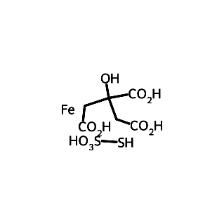 O=C(O)CC(O)(CC(=O)O)C(=O)O.O=S(=O)(O)S.[Fe]